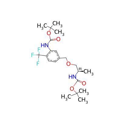 C[C@H](COCc1ccc(C(F)(F)F)c(NC(=O)OC(C)(C)C)c1)NC(=O)OC(C)(C)C